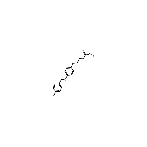 CC(=O)/C=C/CCc1ccc(OCc2ccc(F)cc2)cc1